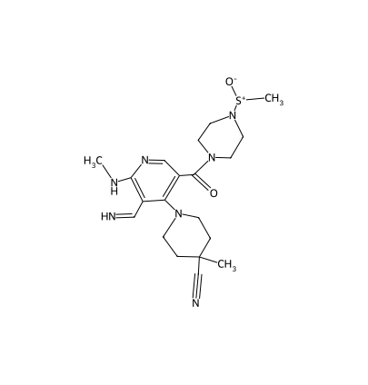 CNc1ncc(C(=O)N2CCN([S+](C)[O-])CC2)c(N2CCC(C)(C#N)CC2)c1C=N